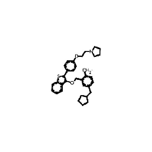 [CH2]c1ccc(CC2CCCC2)cc1COc1c(-c2ccc(OCCN3CCCC3)cc2)sc2ccccc12